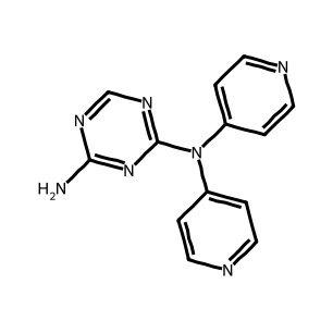 Nc1ncnc(N(c2ccncc2)c2ccncc2)n1